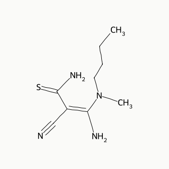 CCCCN(C)/C(N)=C(/C#N)C(N)=S